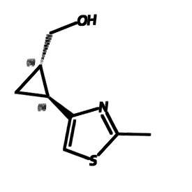 Cc1nc([C@H]2C[C@@H]2CO)cs1